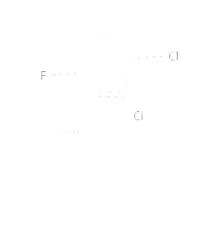 C=CCc1c(F)ccc(Cl)c1Cl